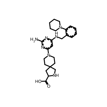 Nc1nc(NCc2ccccc2N2CCCCC2)cc(N2CCC3(CC2)CNC(C(=O)O)C3)n1